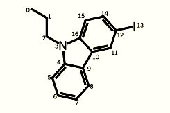 CCCn1c2ccccc2c2cc(I)ccc21